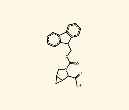 O=C(O)C1C2CC2CN1C(=O)OCC1c2ccccc2-c2ccccc21